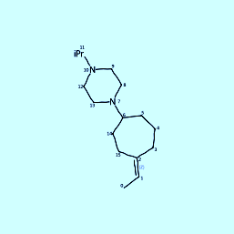 C/C=C1/CCCC(N2CCN(C(C)C)CC2)CC1